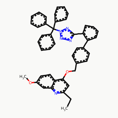 CCc1cc(OCc2ccc(-c3ccccc3-c3nnn(C(c4ccccc4)(c4ccccc4)c4ccccc4)n3)cc2)c2ccc(OC)cc2n1